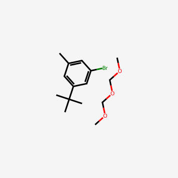 COCOCOC.Cc1cc(Br)cc(C(C)(C)C)c1